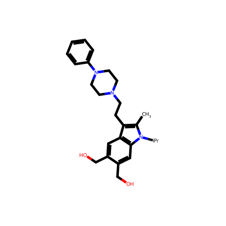 Cc1c(CCN2CCN(c3ccccc3)CC2)c2cc(CO)c(CO)cc2n1C(C)C